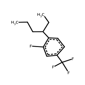 CCCC(CC)c1ccc(C(F)(F)F)cc1F